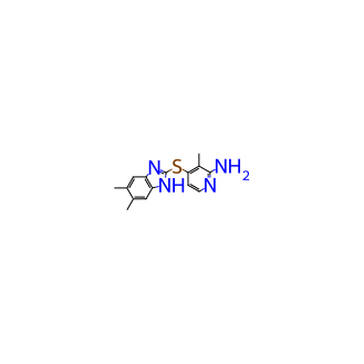 Cc1cc2nc(Sc3ccnc(N)c3C)[nH]c2cc1C